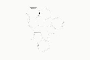 C[SiH](C)[Ti]([c]1ccccc1)([c]1ccccc1)([CH]1C=Cc2ccccc21)[CH]1C=Cc2ccccc21